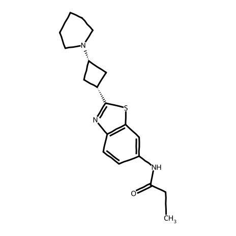 CCC(=O)Nc1ccc2nc([C@H]3C[C@@H](N4CCCCC4)C3)sc2c1